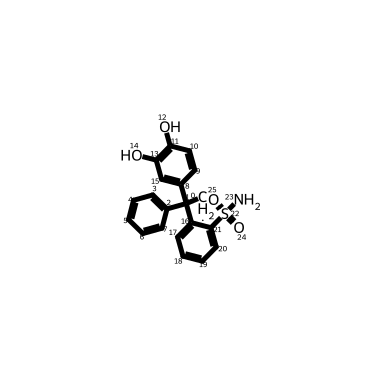 [CH2]C(c1ccccc1)(c1ccc(O)c(O)c1)c1ccccc1S(N)(=O)=O